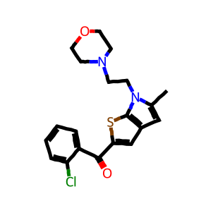 Cc1cc2cc(C(=O)c3ccccc3Cl)sc2n1CCN1CCOCC1